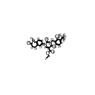 CCOC(=O)c1cn(-c2ccc3c(c2)CCC(=O)N3C)c(=O)n(Cc2cccc(C(F)(F)F)c2Cl)c1=O